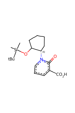 CC(C)(C)[Si](C)(C)OC1CCCC[C@@H]1n1cccc(C(=O)O)c1=O